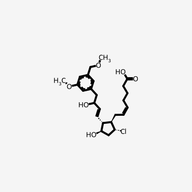 COCc1cc(CC(O)/C=C/[C@@H]2[C@@H](C/C=C\CCCC(=O)O)[C@H](Cl)C[C@H]2O)cc(OC)c1